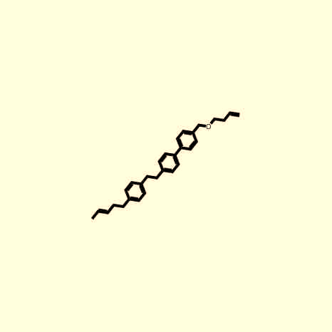 C=CCCOCc1ccc(-c2ccc(CCc3ccc(CCC=CC)cc3)cc2)cc1